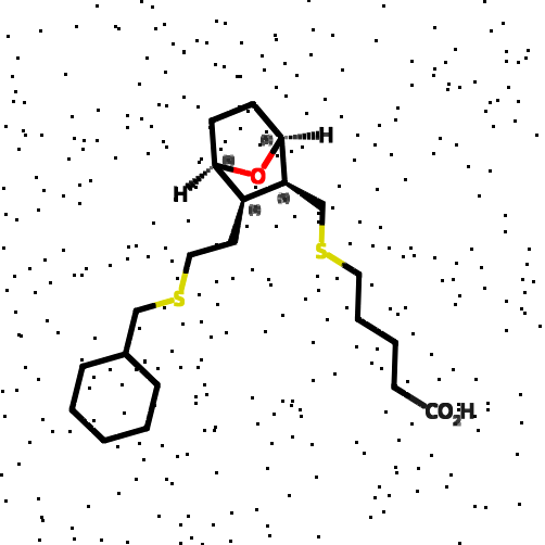 O=C(O)CCCCSC[C@H]1[C@@H](CCSCC2CCCCC2)[C@H]2CC[C@@H]1O2